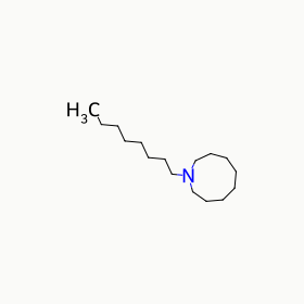 CCCCCCCCN1CCCCCCCC1